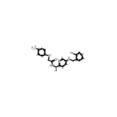 C[C@@H](NC(=O)COc1ccc(C(F)(F)F)cc1)c1ccc(OCc2ccccc2F)cn1